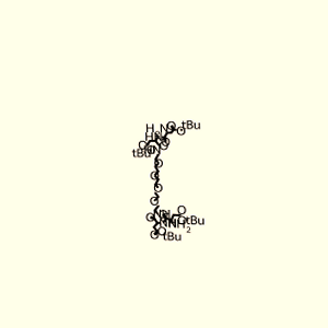 CC(C)(C)OC(=O)CC(N)C(=O)NC(CC(=O)OC(C)(C)C)C(=O)NCCOCCOCCOCCOCCNC(=O)C(CC(=O)OC(C)(C)C)NC(=O)C(N)CC(=O)OC(C)(C)C